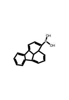 OB(O)C1=CC=C2c3ccccc3C3=CC=CC1C32